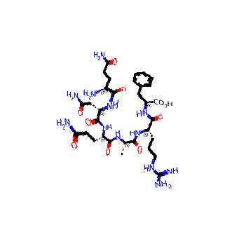 C[C@H](NC(=O)[C@H](CCC(N)=O)NC(=O)[C@H](CC(N)=O)NC(=O)[C@@H](N)CCC(N)=O)C(=O)N[C@@H](CCCNC(=N)N)C(=O)N[C@@H](Cc1ccccc1)C(=O)O